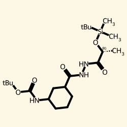 C[C@@H](O[Si](C)(C)C(C)(C)C)C(=O)NNC(=O)C1CCCC(NC(=O)OC(C)(C)C)C1